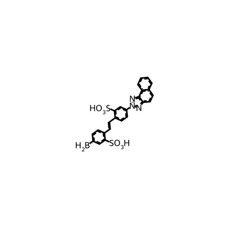 Bc1ccc(/C=C/c2ccc(-n3nc4ccc5ccccc5c4n3)cc2S(=O)(=O)O)c(S(=O)(=O)O)c1